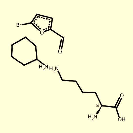 NC1CCCCC1.NCCCC[C@H](N)C(=O)O.O=Cc1ccc(Br)o1